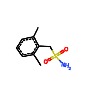 Cc1cccc(C)c1CS(N)(=O)=O